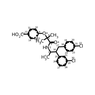 CC(NC(=O)C(C)(C)Oc1ccc(C(=O)O)cn1)C(Cc1ccc(Cl)cc1)c1cccc(Cl)c1